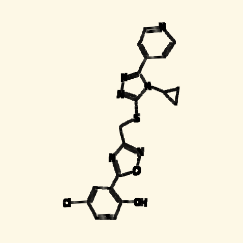 Oc1ccc(Cl)cc1-c1nc(CSc2nnc(-c3ccncc3)n2C2CC2)no1